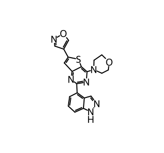 c1cc(-c2nc(N3CCOCC3)c3sc(-c4cnoc4)cc3n2)c2cn[nH]c2c1